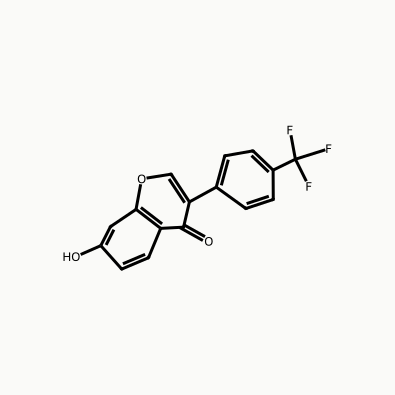 O=c1c(-c2ccc(C(F)(F)F)cc2)coc2cc(O)ccc12